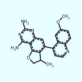 COc1ccc2nccc(-c3cc4nc(N)nc(N)c4c4c3C(C)CO4)c2c1